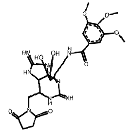 COc1cc(C(=O)NC2CN3C(=N)NC(CN4C(=O)CCC4=O)C4NC(=N)NC43C2(O)O)cc(OC)c1OC